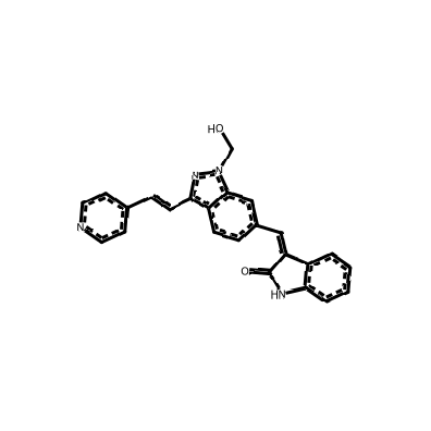 O=C1Nc2ccccc2C1=Cc1ccc2c(C=Cc3ccncc3)nn(CO)c2c1